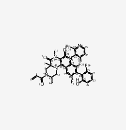 C=CC(=O)N1CC2(C)C(=O)N(C)c3c(c4cc(F)c(-c5c(O)cccc5F)c(F)c4n(-c4c(C)ccnc4C(C)C)c3=O)N2CC1C